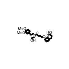 COc1ccc(CCN(CCO)C(=O)CCCOc2cccc3c2NC(=O)CC3)cc1OC